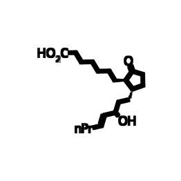 CCCC=CC(O)CC[C@H]1CCC(=O)[C@@H]1CCCCCCC(=O)O